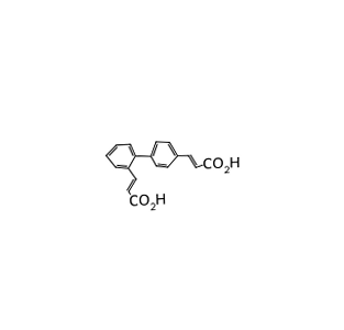 O=C(O)C=Cc1ccc(-c2ccccc2C=CC(=O)O)cc1